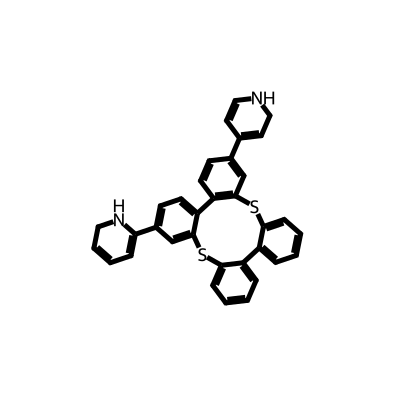 C1=CCNC(c2ccc3c(c2)Sc2ccccc2-c2ccccc2Sc2cc(C4=CCNC=C4)ccc2-3)=C1